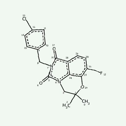 CC1(C)Cn2c(=O)n(Cc3ccc(Cl)cc3)c(=O)c3ccc(F)c(c32)O1